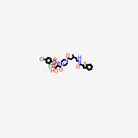 CC(CCNC(=O)c1cc2ccccc2s1)CC(=O)N1CCN(C(=O)[C@@H](NS(=O)(=O)c2ccc(Cl)cc2Cl)[C@@H](C)O)CC1